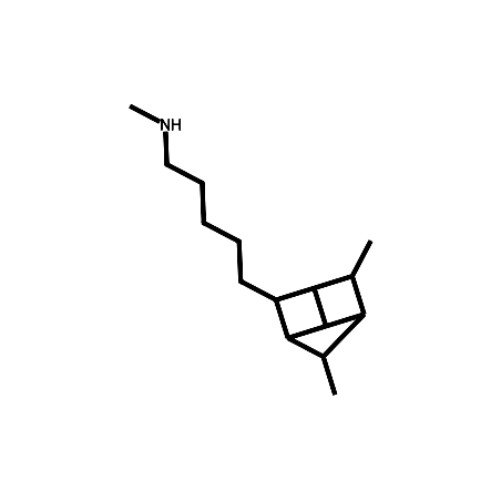 CNCCCCCC1C2C(C)C3C(C)C1C32